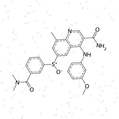 COc1cccc(Nc2c(C(N)=O)cnc3c(C)cc([S+]([O-])c4cccc(C(=O)N(C)C)c4)cc23)c1